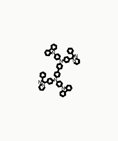 c1ccc(-c2nc3ccccn3c2-c2ccc(N(c3ccc(-c4ccc(N(c5ccc(-c6c(-c7ccccc7)nc7ccccn67)cc5)c5ccc(-n6c7ccccc7c7ccccc76)cc5)cc4)cc3)c3ccc(-n4c5ccccc5c5ccccc54)cc3)cc2)cc1